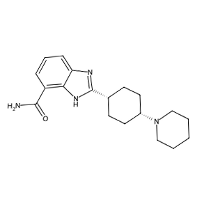 NC(=O)c1cccc2nc([C@H]3CC[C@@H](N4CCCCC4)CC3)[nH]c12